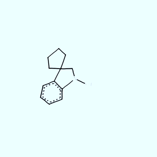 CN1CC2(CCCC2)c2ccccc21